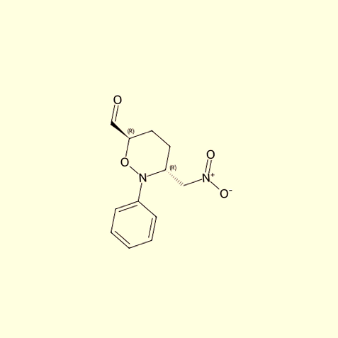 O=C[C@H]1CC[C@H](C[N+](=O)[O-])N(c2ccccc2)O1